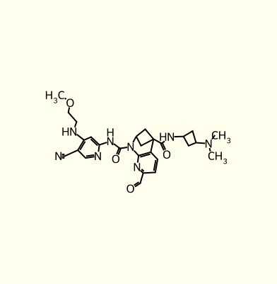 COCCNc1cc(NC(=O)N2c3nc(C=O)ccc3C3(C(=O)NC4CC(N(C)C)C4)CC2C3)ncc1C#N